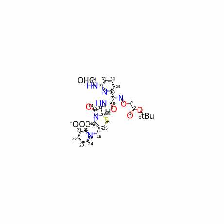 CC(C)(C)OC(=O)CO/N=C(\C(=O)NC1C(=O)N2C(C(=O)[O-])=C(C[n+]3ccccc3)CS[C@H]12)c1cccc(NC=O)n1